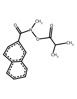 CC(C)C(=O)ON(C)C(=O)c1ccc2ccccc2c1